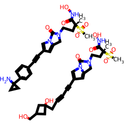 C[C@@](CCN1Cc2cc(C#CC#CCC3(O)CC(CO)C3)cn2C1=O)(C(=O)NO)S(C)(=O)=O.C[C@@](CCN1Cc2cc(C#Cc3ccc(C4(N)CC4)cc3)cn2C1=O)(C(=O)NO)S(C)(=O)=O